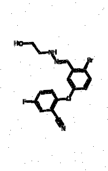 N#Cc1cc(F)ccc1Oc1ccc(Br)c(C=NNCCO)c1